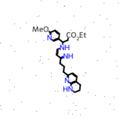 CCOC(=O)CC(N/C=C\C(=N)CCCc1ccc2c(n1)NCCC2)c1ccc(OC)nc1